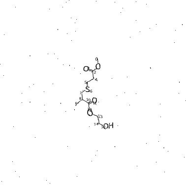 COC(=O)CCSCC(C)C(=O)OCCO